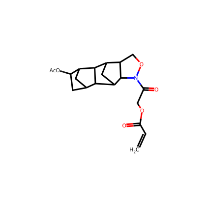 C=CC(=O)OCC(=O)N1OCC2C3CC(C4C5CC(OC(C)=O)C(C5)C34)C21